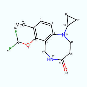 COc1ccc2c(c1OC(F)F)CNC(=O)CCN2C1CC1